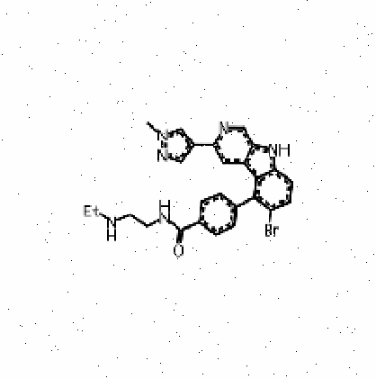 CCNCCNC(=O)c1ccc(-c2c(Br)ccc3[nH]c4cnc(-c5cnn(C)c5)cc4c23)cc1